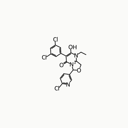 CCn1c(O)c(-c2cc(Cl)cc(Cl)c2)c(=O)[n+]2c1COC2c1ccc(Cl)nc1